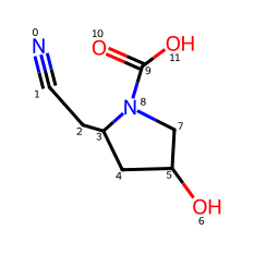 N#CCC1CC(O)CN1C(=O)O